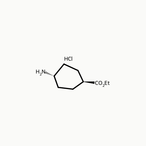 CCOC(=O)[C@H]1CC[C@H](N)CC1.Cl